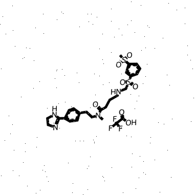 CN(CCc1ccc(C2=NCCN2)cc1)C(=O)CCCNCS(=O)(=O)c1cccc(S(C)(=O)=O)c1.O=C(O)C(F)(F)F